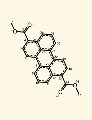 COC(=O)c1ccc2c3cccc4c(C(=O)OC)ccc(c5cccc1c52)c43